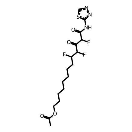 CC(=O)OCCCCCCCCC(F)C(F)C(=O)C(F)C(=O)Nc1nncs1